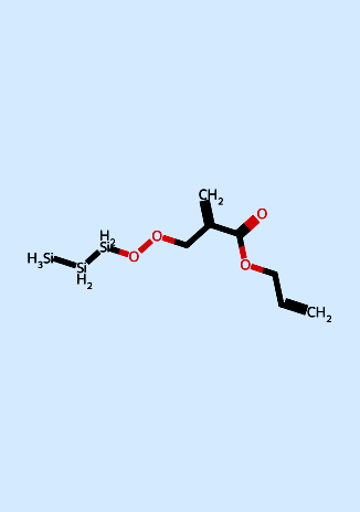 C=CCOC(=O)C(=C)COO[SiH2][SiH2][SiH3]